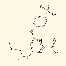 COCC(C)Oc1nc(Oc2ccc(S(C)(=O)=O)cc2)nc(C(=O)O)n1